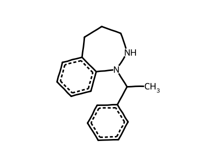 CC(c1ccccc1)N1NCCCc2ccccc21